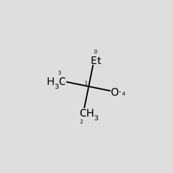 [CH2]CC(C)(C)[O]